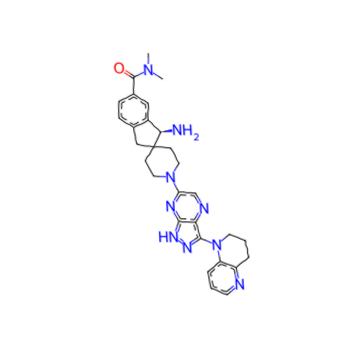 CN(C)C(=O)c1ccc2c(c1)[C@@H](N)C1(CCN(c3cnc4c(N5CCCc6ncccc65)n[nH]c4n3)CC1)C2